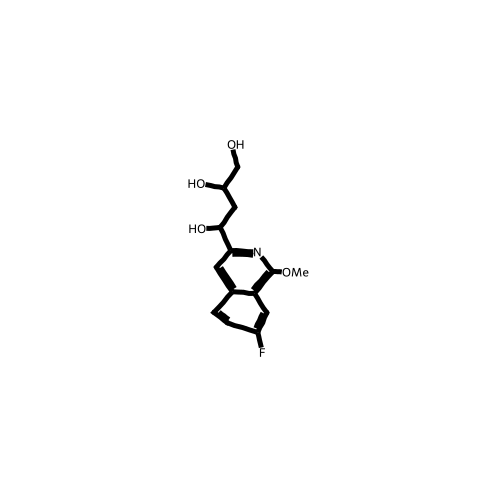 COc1nc(C(O)CC(O)CO)cc2ccc(F)cc12